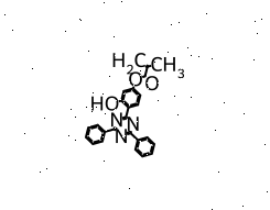 C=C(C)C(=O)Oc1ccc(-c2nc(-c3ccccc3)nc(-c3ccccc3)n2)c(O)c1